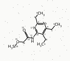 CCc1nc(CC)c(CC)c(NC(=O)CO[SiH3])n1